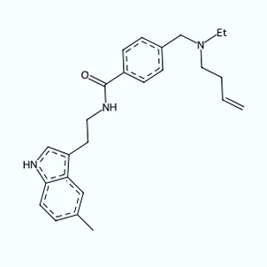 C=CCCN(CC)Cc1ccc(C(=O)NCCc2c[nH]c3ccc(C)cc23)cc1